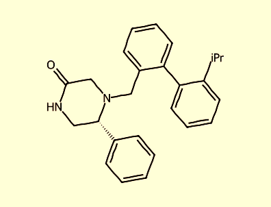 CC(C)c1ccccc1-c1ccccc1CN1CC(=O)NC[C@H]1c1ccccc1